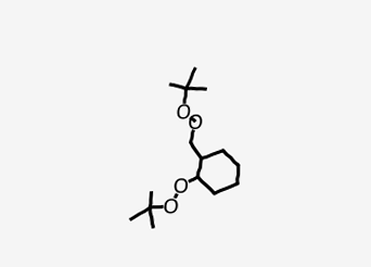 CC(C)(C)OOCC1CCCCC1OOC(C)(C)C